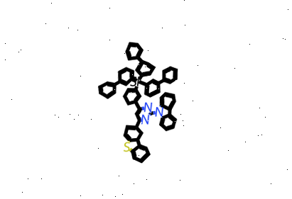 C1=C(c2cc(C3=CC=C4Sc5ccccc5C4C3)nc(-n3c4ccccc4c4ccccc43)n2)CCC=C1[Si](c1cccc(-c2ccccc2)c1)(c1cccc(-c2ccccc2)c1)c1cccc(-c2ccccc2)c1